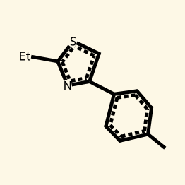 CCc1nc(-c2ccc(C)cc2)cs1